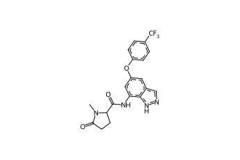 CN1C(=O)CCC1C(=O)Nc1cc(Oc2ccc(C(F)(F)F)cc2)cc2cn[nH]c12